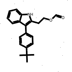 CC(C)(C)c1ccc(-c2c(CCOC=O)[nH]c3ccccc23)cc1